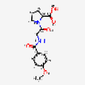 COc1ccc(C(=O)NCC(=O)N2CCC[C@H]2C(=O)O)cc1